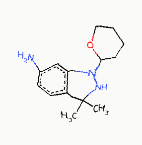 CC1(C)NN(C2CCCCO2)c2cc(N)ccc21